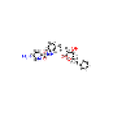 CCC[C@@]1(CCc2ccccc2)CC(O)=C(CCCc2cccc(NS(=O)(=O)c3ccc(N)cn3)c2)C(=O)O1